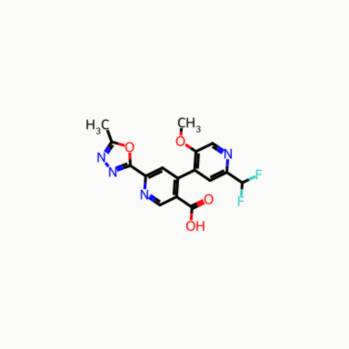 COc1cnc(C(F)F)cc1-c1cc(-c2nnc(C)o2)ncc1C(=O)O